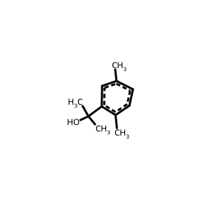 Cc1ccc(C)c(C(C)(C)O)c1